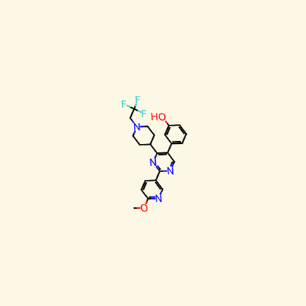 COc1ccc(-c2ncc(-c3cccc(O)c3)c(C3CCN(CC(F)(F)F)CC3)n2)cn1